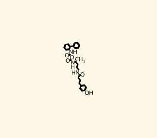 CC(CCCNC(=O)CCCc1ccc(O)cc1)NC(=O)OC(=O)Nc1ccccc1-c1ccccc1